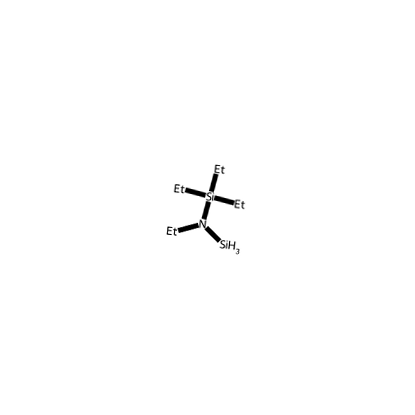 CCN([SiH3])[Si](CC)(CC)CC